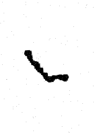 O=C(CCCCCC(=O)OCOc1ccc2ccc(OCCCCN3CCN(c4cccc5sccc45)CC3)cc2n1)OCOc1ccc2ccc(OCCCCN3CCN(c4cccc5sccc45)CC3)cc2n1